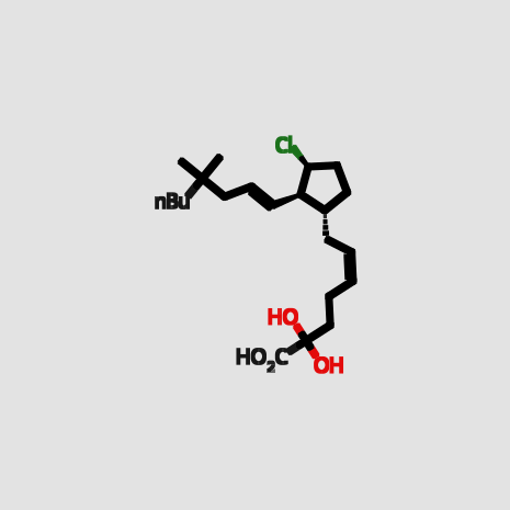 CCCCC(C)(C)C/C=C/[C@@H]1[C@@H](C/C=C\CCC(O)(O)C(=O)O)CC[C@@H]1Cl